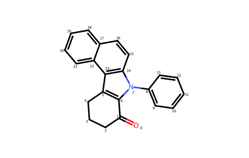 O=C1CCCc2c1n(-c1ccccc1)c1ccc3ccccc3c21